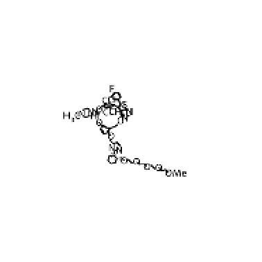 COCCOCCOCCOCCOC[C@@H]1CCCC[C@H]1c1nccc(COc2ccc3cc2CCOc2ncnc4sc(-c5ccc(F)cc5)c(c24)-c2c(C)c(Cl)c(c(Cl)c2C)O[C@H](CN2CCN(C)CC2)CO3)n1